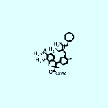 COC(=O)C(C)(C)C(c1ccc(C)c(C/C(=C/N)N(N)CC2CCCCCC2)c1)c1ccc(N(C)N)c(N)c1C